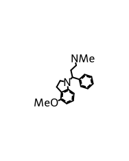 CNCCC(c1ccccc1)N1CCc2c(OC)cccc21